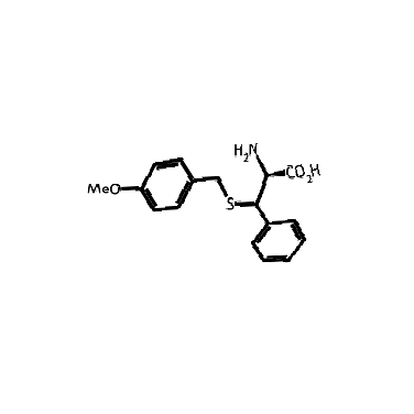 COc1ccc(CSC(c2ccccc2)[C@@H](N)C(=O)O)cc1